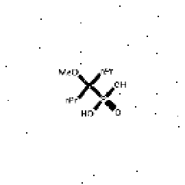 CCCC(CCC)(OC)P(=O)(O)O